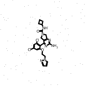 Nc1nc2c(c(-c3c(Cl)cc(Cl)cc3OCCn3cccn3)n1)CN(C(=O)NC1CCC1)C2